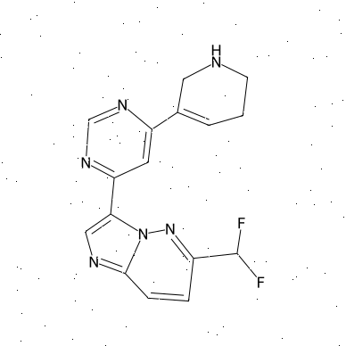 FC(F)c1ccc2ncc(-c3cc(C4=CCCNC4)ncn3)n2n1